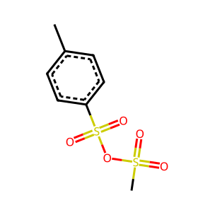 Cc1ccc(S(=O)(=O)OS(C)(=O)=O)cc1